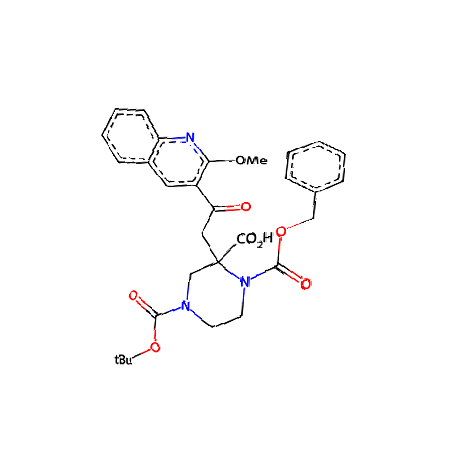 COc1nc2ccccc2cc1C(=O)CC1(C(=O)O)CN(C(=O)OC(C)(C)C)CCN1C(=O)OCc1ccccc1